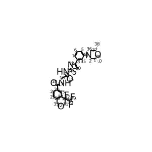 C[C@@H]1CN(c2cccc(-c3csc(NC(=O)CNC(=O)c4ccc5c(c4)[C@](F)(C(F)F)COC5)n3)c2)C[C@H](C)O1